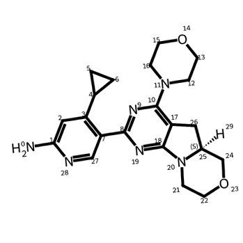 Nc1cc(C2CC2)c(-c2nc(N3CCOCC3)c3c(n2)N2CCOC[C@@H]2C3)cn1